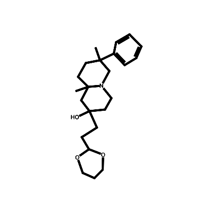 CC1(c2ccccc2)CCC2(C)CC(O)(CCC3OCCCO3)CCN2C1